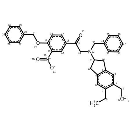 CCc1cc2c(cc1CC)CC(N(CC(=O)c1ccc(OCc3ccccc3)c([N+](=O)[O-])c1)Cc1ccccc1)C2